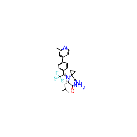 Cc1cc(-c2ccc([C@H](N([C@@H](CC(C)C)C(N)=O)C3(C#N)CC3)C(F)(F)F)cc2)ccn1